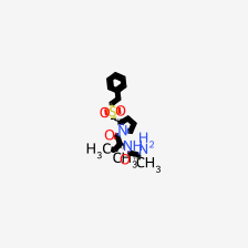 CC(C)[C@H](NC(=O)[C@H](C)N)C(=O)N1CCC[C@H]1CS(=O)(=O)CCc1ccccc1